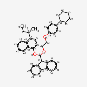 CCC(C)c1ccc(OC(OCCOc2ccc(C3CCCCC3)cc2)C2c3ccccc3-c3ccccc32)c2ccccc12